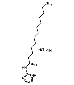 Cl.Cl.NCCCCCCCCCCCC(=O)Nc1ncc[nH]1